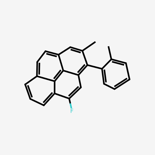 Cc1ccccc1-c1c(C)cc2ccc3cccc4c(F)cc1c2c34